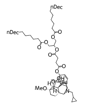 CCCCCCCCCCCCCCCC(=O)OCC(COC(=O)CCCCCCCCCCCCCCC)OC(=O)CCC(=O)Oc1ccc2c3c1O[C@H]1[C@]4(OC)CC[C@@]5(C[C@@H]4[C@](C)(O)C(C)(C)C)C(C2)N(CC2CC2)CC[C@]315